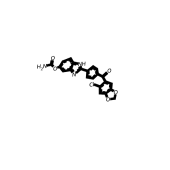 NC(=O)Oc1ccc2[nH]c(-c3ccc(C(=O)c4cc5c(cc4Cl)OCO5)cc3)nc2c1